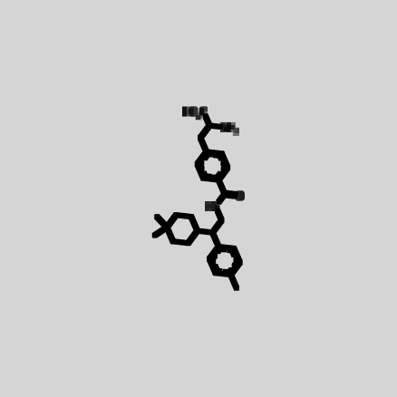 Cc1ccc(C(CNC(=O)c2ccc(CC(N)C(=O)O)cc2)C2CCC(C)(C)CC2)cc1